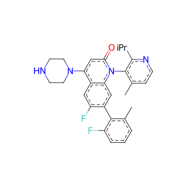 Cc1cccc(F)c1-c1cc2c(cc1F)c(N1CCNCC1)cc(=O)n2-c1c(C)ccnc1C(C)C